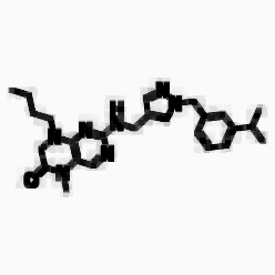 CCCCN1CC(=O)N(C)c2cnc(NCc3cnn(Cc4cccc(C(C)C)c4)c3)nc21